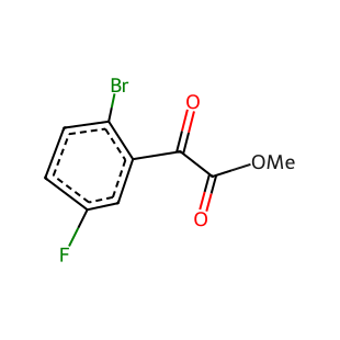 COC(=O)C(=O)c1cc(F)ccc1Br